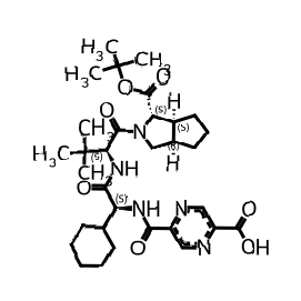 CC(C)(C)OC(=O)[C@@H]1[C@H]2CCC[C@H]2CN1C(=O)[C@@H](NC(=O)[C@@H](NC(=O)c1cnc(C(=O)O)cn1)C1CCCCC1)C(C)(C)C